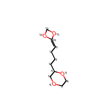 C(CCCC1COCCO1)=C1OCO1